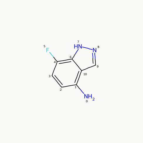 Nc1ccc(F)c2[nH]ncc12